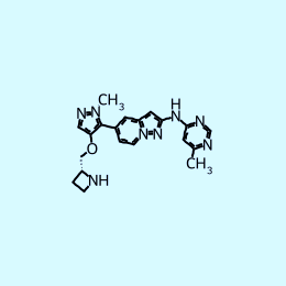 Cc1cc(Nc2cc3cc(-c4c(OC[C@H]5CCN5)cnn4C)ccn3n2)ncn1